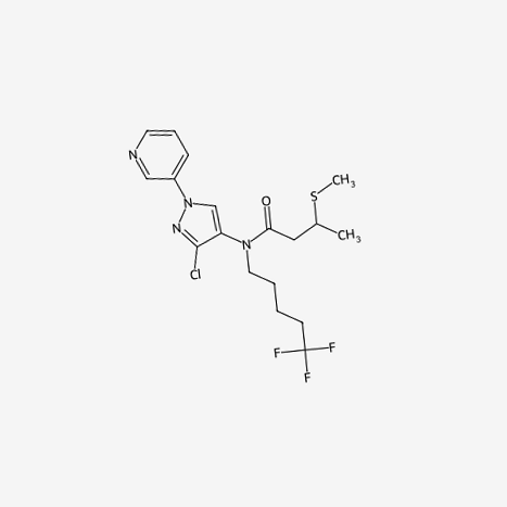 CSC(C)CC(=O)N(CCCCC(F)(F)F)c1cn(-c2cccnc2)nc1Cl